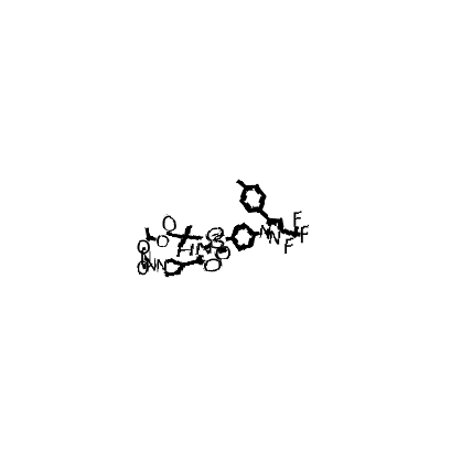 Cc1ccc(-c2cc(C(F)(F)F)nn2-c2ccc(S(=O)(=O)NC(=O)C3CCN(n4on4OC(C)OC(=O)C(C)(C)C)C3)cc2)cc1